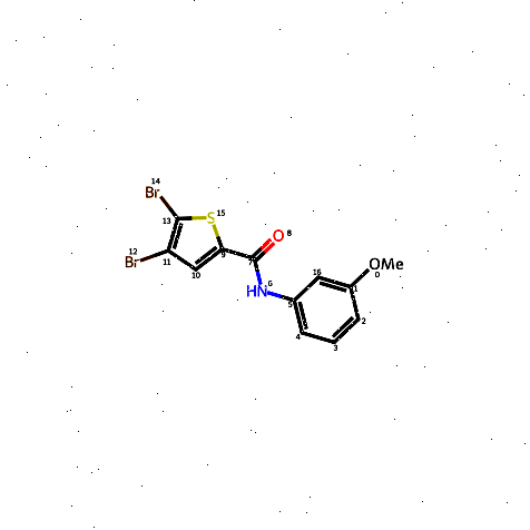 COc1cccc(NC(=O)c2cc(Br)c(Br)s2)c1